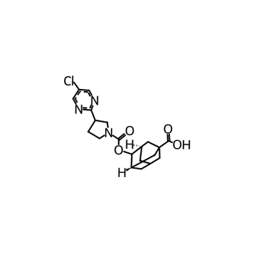 O=C(OC1[C@@H]2CC3C[C@H]1CC(C(=O)O)(C3)C2)N1CCC(c2ncc(Cl)cn2)C1